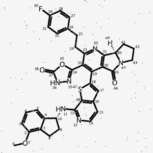 COc1cccc2c1CC[C@H]2Nc1nccc2cc(-c3c4c(nc(CCc5ccc(F)cc5)c3-c3n[nH]c(=O)o3)[C@H]3CCCN3C4=O)sc12